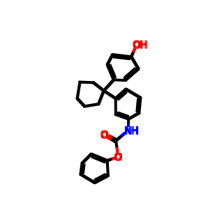 O=C(Nc1cccc(C2(c3ccc(O)cc3)CCCCC2)c1)Oc1ccccc1